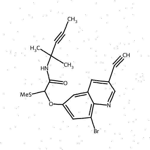 C#Cc1cnc2c(Br)cc(OC(SC)C(=O)NC(C)(C)C#CC)cc2c1